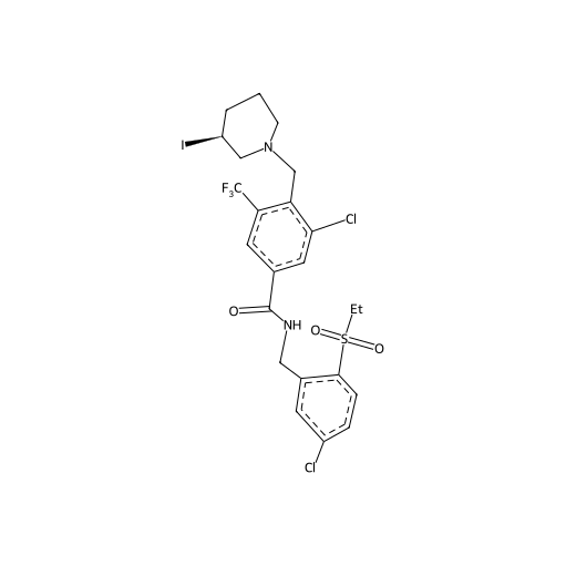 CCS(=O)(=O)c1ccc(Cl)cc1CNC(=O)c1cc(Cl)c(CN2CCC[C@H](I)C2)c(C(F)(F)F)c1